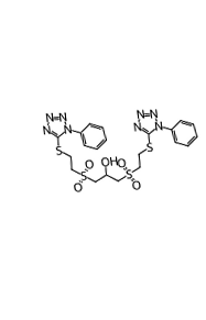 O=S(=O)(CCSc1nnnn1-c1ccccc1)CC(O)CS(=O)(=O)CCSc1nnnn1-c1ccccc1